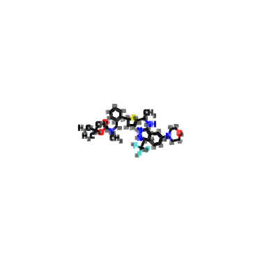 C[C@@H](Nc1nnc(C(F)(F)F)c2ccc(N3CCOCC3)cc12)c1ccc(-c2ccccc2CN(C)C(=O)OC(C)(C)C)s1